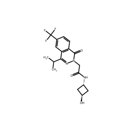 CC(C)c1nn(CC(=O)N[C@H]2C[C@H](O)C2)c(=O)c2ccc(C(F)(F)F)cc12